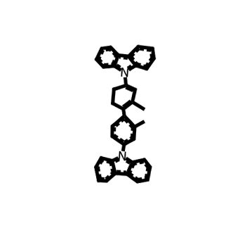 CC1=C(c2ccc(-n3c4ccccc4c4ccccc43)cc2C)CCC(n2c3ccccc3c3ccccc32)=C1